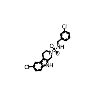 O=S(=O)(NCc1cccc(Cl)c1)N1CCc2c([nH]c3ccc(Cl)cc23)C1